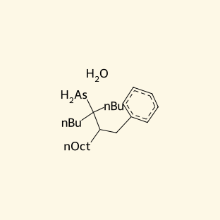 CCCCCCCCC(Cc1ccccc1)C([AsH2])(CCCC)CCCC.O